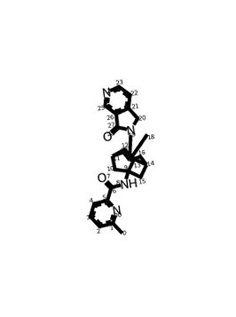 Cc1cccc(C(=O)NC23CC4CC2C(C3)CC(C)(N2Cc3ccncc3C2=O)C4)n1